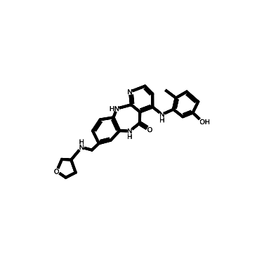 Cc1ccc(O)cc1Nc1ccnc2c1C(=O)Nc1cc(CNC3CCOC3)ccc1N2